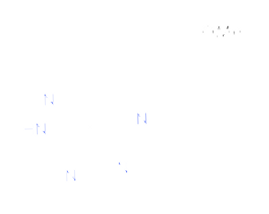 COc1cccc(CN(c2ncnc3[nH]ncc23)C2CCCC2)c1